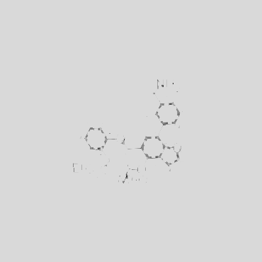 CCOC(=O)Cc1ccccc1OCc1cc(-c2cccc(CN)c2)c2occc2c1OCOC